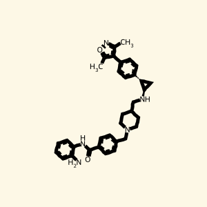 Cc1noc(C)c1-c1ccc([C@@H]2C[C@H]2NCC2CCN(Cc3ccc(C(=O)Nc4ccccc4N)cc3)CC2)cc1